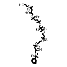 CCCC(C)(CCC(C)(C)OCC(C)(CC)C(C)(CC)OCCC(C)(CC)OCCOC(C)(CC)CC(O)COC(C)(CC)c1ccccc1)OCC(O)CC(C)(CC)OCCO